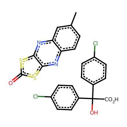 Cc1ccc2nc3sc(=O)sc3nc2c1.O=C(O)C(O)(c1ccc(Cl)cc1)c1ccc(Cl)cc1